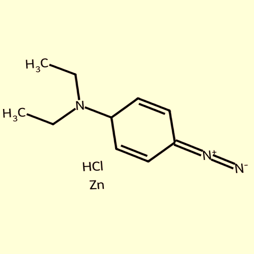 CCN(CC)C1C=CC(=[N+]=[N-])C=C1.Cl.[Zn]